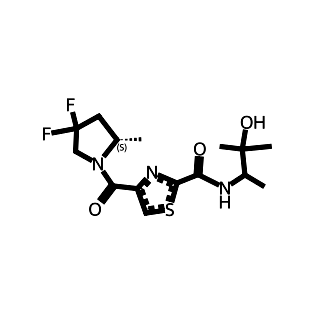 CC(NC(=O)c1nc(C(=O)N2CC(F)(F)C[C@@H]2C)cs1)C(C)(C)O